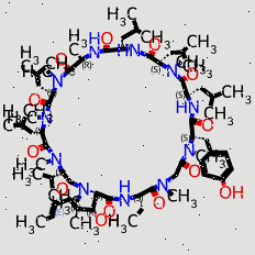 C/C=C/C[C@@H](C)[C@@H](O)[C@H]1C(=O)N[C@@H](CC)C(=O)N(C)CC(=O)N(C)[C@@H](Cc2ccc(O)cc2)C(=O)N[C@@H](CC(C)C)C(=O)N(C)[C@@H](CC(C)C)C(=O)N[C@@H](CC(C)C)C(=O)N[C@H](C)C(=O)N(C)[C@@H](CC(C)C)C(=O)N(C)[C@@H](CC(C)C)C(=O)N(C)[C@@H](C(C)C)C(=O)N1C